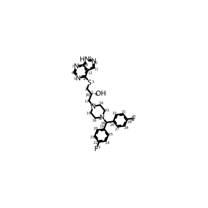 O[C@@H](CSc1ncnc2[nH]ncc12)CN1CCN(C(c2ccc(F)cc2)c2ccc(F)cc2)CC1